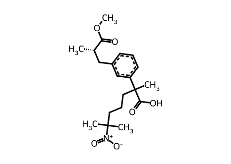 COC(=O)[C@@H](C)Cc1cccc(C(C)(CCCC(C)(C)[N+](=O)[O-])C(=O)O)c1